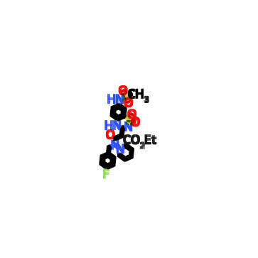 CCOC(=O)C1CCCCN1N(Cc1ccc(F)cc1)C(=O)CC1=NS(=O)(=O)c2cc(NS(C)(=O)=O)ccc2N1